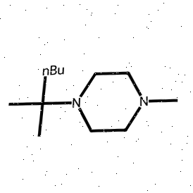 CCCCC(C)(C)N1CCN(C)CC1